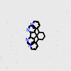 c1cncc(C2CCCC(c3cccnc3)C23c2cccnc2-c2ncccc23)c1